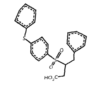 O=C(O)CC(Cc1ccccc1)S(=O)(=O)c1ccc(Sc2ccccc2)cc1